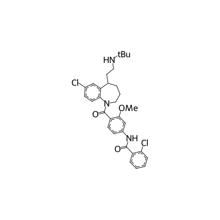 COc1cc(NC(=O)c2ccccc2Cl)ccc1C(=O)N1CCCC(CCNC(C)(C)C)c2cc(Cl)ccc21